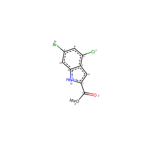 COC(=O)c1cc2c(Cl)cc(Br)cc2[nH]1